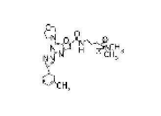 CC1=CC=CC(c2cnn(-c3nc(N4CCOCC4)c4oc(C(=O)NCCCS(=O)(=O)N(C)C)cc4n3)c2)C1